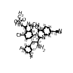 Cn1nc(NS(C)(=O)=O)c2c(Cl)ccc(-n3c(C(N)Cc4cc(F)cc(F)c4)nc4cc(C#N)ccc4c3=O)c21